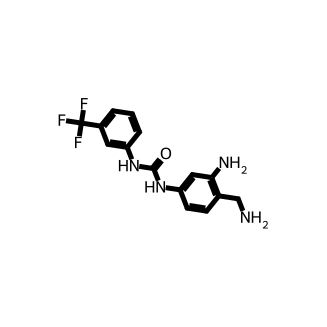 NCc1ccc(NC(=O)Nc2cccc(C(F)(F)F)c2)cc1N